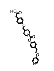 O=C(O)Cc1ccc(OCC2CCN(C(=O)Oc3ccc(CCOc4ccncc4)cc3)CC2)cc1